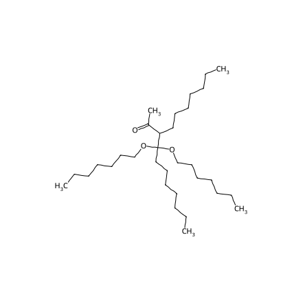 CCCCCCCOC(CCCCCCC)(OCCCCCCC)C(CCCCCCC)C(C)=O